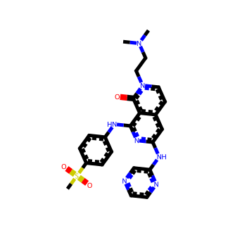 CN(C)CCn1ccc2cc(Nc3cnccn3)nc(Nc3ccc(S(C)(=O)=O)cc3)c2c1=O